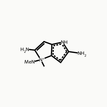 CN[N+]1(C)C(N)=Cc2[nH]c(N)cc21